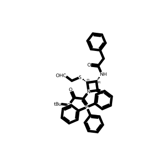 CC(C)(C)OC(=O)C(N1C(=O)[C@@H](NC(=O)Cc2ccccc2)[C@H]1SCC=O)=P(c1ccccc1)(c1ccccc1)c1ccccc1